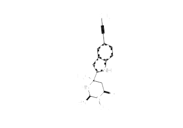 CC#Cc1ccc2[nH]c([C@]3(C)CC(=O)N(C)C(=N)N3)cc2c1